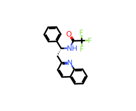 O=C(N[C@H](Cc1ccc2ccccc2n1)c1ccccc1)C(F)(F)F